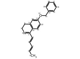 C/C=C/C=C/C1=NCCc2cc(OCc3ccccc3)ccc21